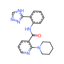 O=C(Nc1ccccc1-c1nnc[nH]1)c1cccnc1N1CCCCC1